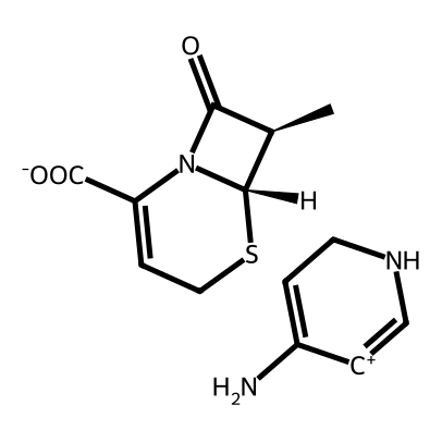 C[C@@H]1C(=O)N2C(C(=O)[O-])=CCS[C@@H]12.NC1=CCNC=[C+]1